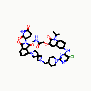 CNC(=O)COc1cc2cc(Nc3nc(N4CCC(CN5CC6(CCN(c7cccc8c7C(=O)N(C7CCC(=O)NC7=O)C8=O)C6)C5)CC4)ncc3Cl)ccc2n(C(C)C)c1=O